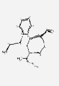 C=C(C)C1CC=C(C=O)CC1.OCCc1ccccc1